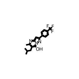 Cc1nc2cc(-c3ccc(C(F)(F)F)cc3)nn2c(O)c1CC(C)C